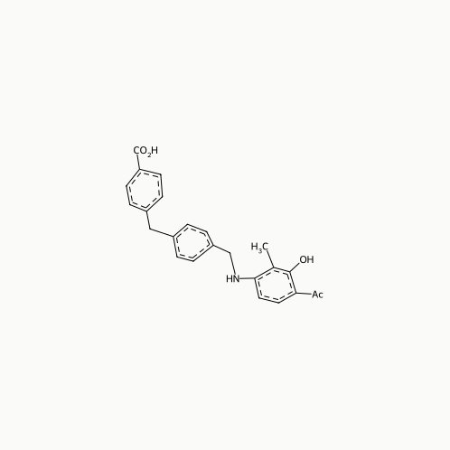 CC(=O)c1ccc(NCc2ccc(Cc3ccc(C(=O)O)cc3)cc2)c(C)c1O